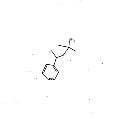 CC(C)([SiH3])CC(Cl)c1ccccc1